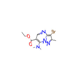 CCOC(=O)c1cnc2c(Br)c(C)nn2c1N(C)C